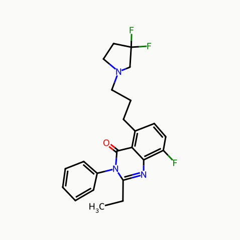 CCc1nc2c(F)ccc(CCCN3CCC(F)(F)C3)c2c(=O)n1-c1ccccc1